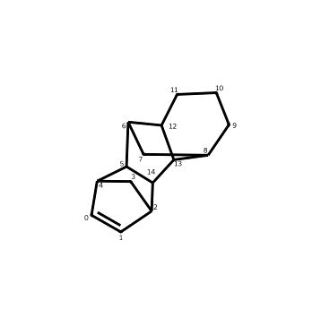 C1=CC2CC1C1C3CC4CCCC3C4C21